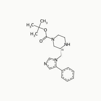 CC(C)(C)OC(=O)N1CCN[C@H](Cn2cncc2-c2ccccc2)C1